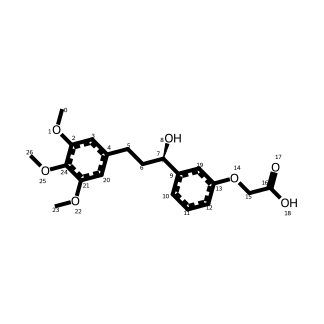 COc1cc(CC[C@@H](O)c2cccc(OCC(=O)O)c2)cc(OC)c1OC